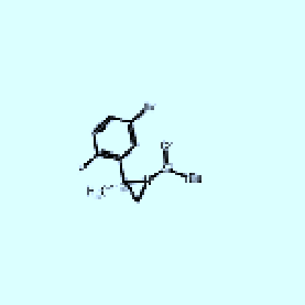 CC(C)(C)[S+]([O-])N1C[C@@]1(C)c1cc(Br)ccc1F